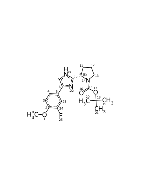 COc1ccc(-c2c[nH]c([C@@H]3CCCN3C(=O)OC(C)(C)C)n2)cc1F